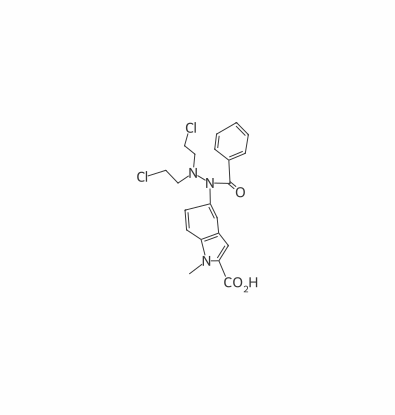 Cn1c(C(=O)O)cc2cc(N(C(=O)c3ccccc3)N(CCCl)CCCl)ccc21